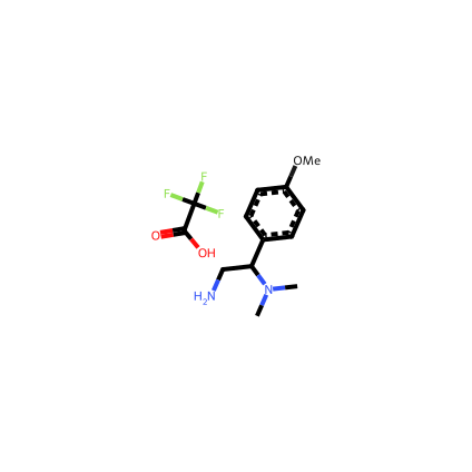 COc1ccc(C(CN)N(C)C)cc1.O=C(O)C(F)(F)F